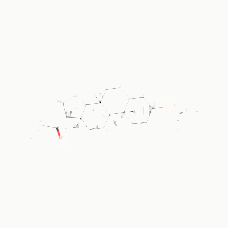 CC(C)(C)[Si](C)(C)OC1CC[C@@]2(C)C(CC[C@H]3[C@@H]4CC[C@H](C(=O)CBr)[C@@]4(C)CC[C@@H]32)C1